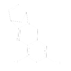 Cc1cc(Cl)c2c(c1)CN1C(=N2)C2C=CC1C2